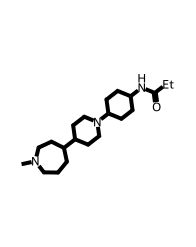 CCC(=O)NC1CCC(N2CCC(C3CCCN(C)CC3)CC2)CC1